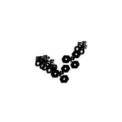 O=C([O-])C(F)(F)F.O=C([O-])C(F)(F)F.O=C([O-])C(F)(F)F.[C]=O.[Rh+3].c1ccc(P(c2ccccc2)c2ccccc2)cc1.c1ccc(P(c2ccccc2)c2ccccc2)cc1